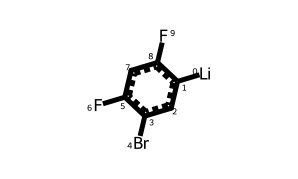 [Li][c]1cc(Br)c(F)cc1F